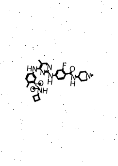 Cc1ccc(Nc2nc(Nc3ccc(C(=O)NC4CCN(C)CC4)c(F)c3)ncc2C)cc1S(=O)(=O)NC1CCC1